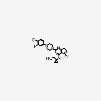 [O-][S+]1CCc2nc(N3CCN(c4ccc(Cl)c(F)c4)CC3)nc(NC3(CO)CC3)c21